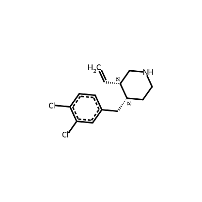 C=C[C@@H]1CNCC[C@@H]1Cc1ccc(Cl)c(Cl)c1